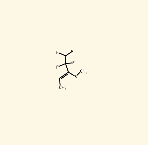 C/C=C(\SC)C(F)(F)C(F)F